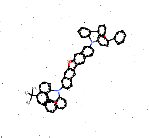 CC(C)(C)c1ccc(-c2ccccc2N(c2ccc3cc4c(cc3c2)oc2cc3cc(N(c5ccc(-c6ccccc6)cc5)c5ccccc5-c5ccccc5)ccc3cc24)c2ccccc2-c2ccccc2)cc1